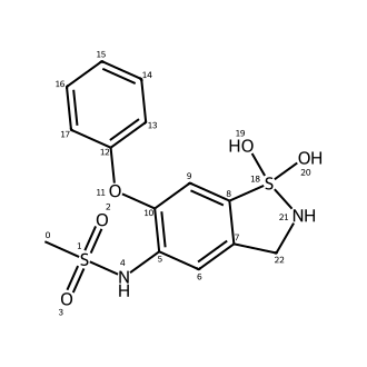 CS(=O)(=O)Nc1cc2c(cc1Oc1ccccc1)S(O)(O)NC2